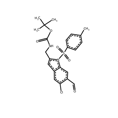 Cc1ccc(S(=O)(=O)n2c(CNC(=O)OC(C)(C)C)cc3cc(Cl)c(C=O)cc32)cc1